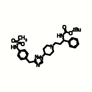 CC(C)(C)OC(=O)NC(CCN1CCC(n2cnc(Cc3ccc(NS(C)(=O)=O)cc3)n2)CC1)c1ccccc1